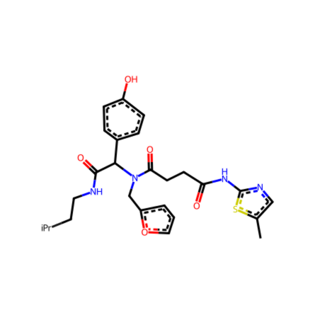 Cc1cnc(NC(=O)CCC(=O)N(Cc2ccco2)C(C(=O)NCCC(C)C)c2ccc(O)cc2)s1